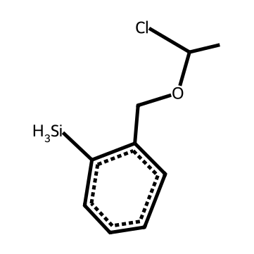 CC(Cl)OCc1ccccc1[SiH3]